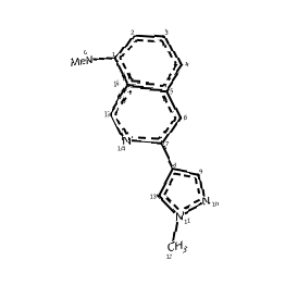 CNc1cccc2cc(-c3cnn(C)c3)ncc12